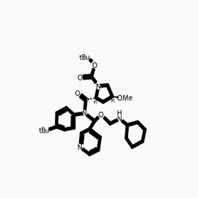 CO[C@@H]1C[C@H](C(=O)N(c2ccc(C(C)(C)C)cc2)C(OCNC2CCCCC2)c2cccnc2)N(C(=O)OC(C)(C)C)C1